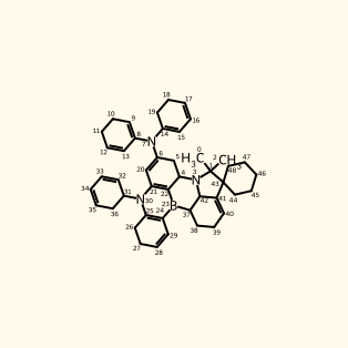 CC1(C)N2C3CC(N(C4=CCCC=C4)C4=CC=CCC4)=CC4=C3B(C3=C(CCC=C3)N4C3C=CC=CC3)C3CCC=C(C32)C12CCCCC2